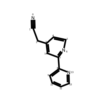 N#CCc1ccnc(-c2ccccn2)c1